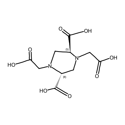 O=C(O)CN1C[C@@H](C(=O)O)N(CC(=O)O)C[C@@H]1C(=O)O